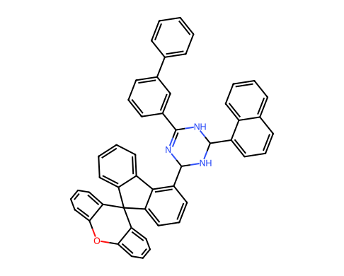 c1ccc(-c2cccc(C3=NC(c4cccc5c4-c4ccccc4C54c5ccccc5Oc5ccccc54)NC(c4cccc5ccccc45)N3)c2)cc1